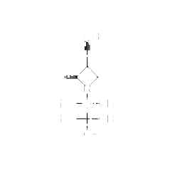 C#CC1CN([Si](C)(C)C(C)(C)C)C1=O